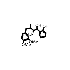 COc1ccc(CC(C)C(N)C(O)c2ccccc2O)cc1OC